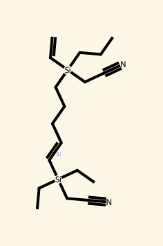 C=C[Si](CC#N)(CCC)CCC/C=C/[Si](CC)(CC)CC#N